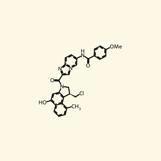 COc1ccc(C(=O)Nc2ccc3nc(C(=O)N4C[C@@H](CCl)c5c4cc(O)c4cccc(C)c54)cn3c2)cc1